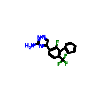 Nc1nncc(-c2ccc(C(F)(F)F)c(-c3ccccc3)c2F)n1